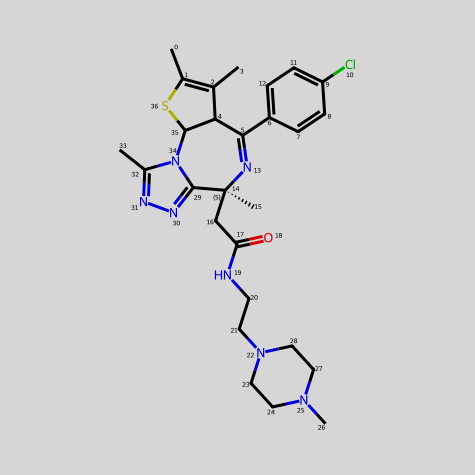 CC1=C(C)C2C(c3ccc(Cl)cc3)=N[C@@](C)(CC(=O)NCCN3CCN(C)CC3)c3nnc(C)n3C2S1